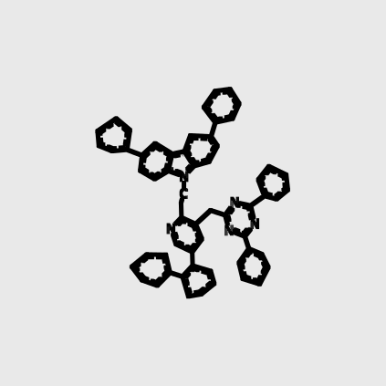 c1ccc(-c2ccc3c(c2)c2cc(-c4ccccc4)ccc2n3CCc2ncc(-c3ccccc3-c3ccccc3)cc2Cc2nc(-c3ccccc3)nc(-c3ccccc3)n2)cc1